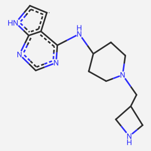 [c]1c[nH]c2ncnc(NC3CCN(CC4CNC4)CC3)c12